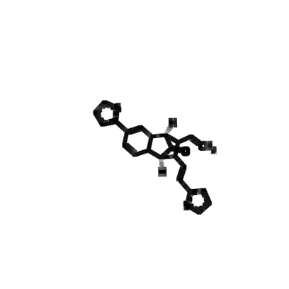 C=CC1C(/C=C/c2cccs2)[C@@H]2C(=O)[C@H]1C1C=C(c3cccs3)C=CC12